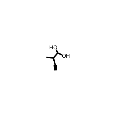 C#CC(C)C(O)O